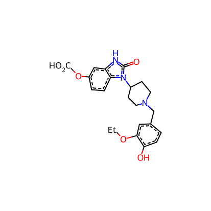 CCOc1cc(CN2CCC(n3c(=O)[nH]c4cc(OC(=O)O)ccc43)CC2)ccc1O